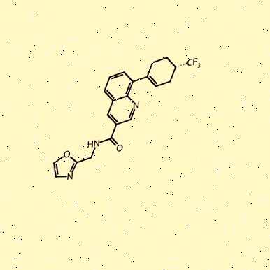 O=C(NCc1ncco1)c1cnc2c(C3=CC[C@@H](C(F)(F)F)CC3)cccc2c1